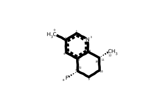 Cc1cnc2c(c1)[C@@H](F)CC[C@H]2C